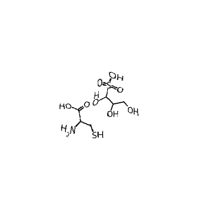 NC(CS)C(=O)O.O=S(=O)(O)C(O)C(O)CO